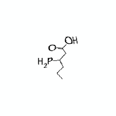 CCCC(P)CC(=O)O